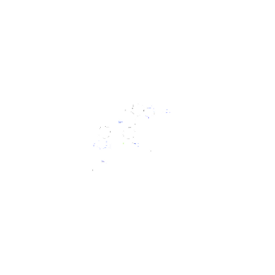 Fc1cc2nc([C@@H]3CCCN3)[nH]c2cc1[C@H]1CC[C@@H](c2cc3[nH]c([C@@H]4CCCN4)nc3cc2F)N1c1cc(F)c(N2CCCCC2)c(F)c1